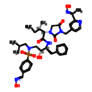 CC[C@H](C)[C@@H](C(=O)N[C@@H](Cc1ccccc1)[C@H](O)CN(CC(C)C)S(=O)(=O)c1ccc(/C=N/O)cc1)N1CC(=O)N(Cc2ccnc(C(C)=NO)c2)C1=O